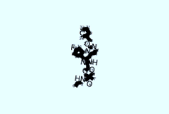 C=CCNC(=O)C1(C)COC(c2nc(-c3ccc(F)cc3)c(-c3ccnc(OCc4ccccc4)n3)[nH]2)OC1